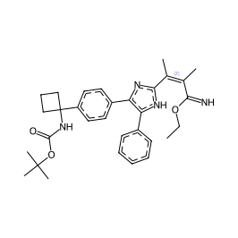 CCOC(=N)/C(C)=C(/C)c1nc(-c2ccc(C3(NC(=O)OC(C)(C)C)CCC3)cc2)c(-c2ccccc2)[nH]1